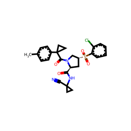 Cc1ccc(C2(C(=O)N3C[C@H](S(=O)(=O)c4ccccc4Cl)C[C@H]3C(=O)NC3(C#N)CC3)CC2)cc1